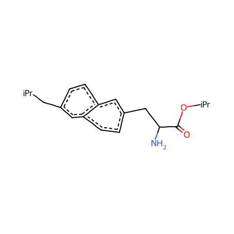 CC(C)Cc1ccc2cc(CC(N)C(=O)OC(C)C)ccc2c1